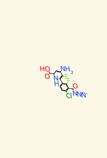 [N-]=[N+]=NC(=O)c1c(Cl)ccc(C2=C(F)C(N)=CC(C(=O)O)N2)c1F